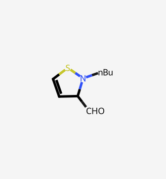 CCCCN1SC=CC1C=O